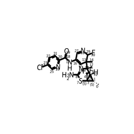 C[C@H]1[C@@H]2[C@@]1(C(F)F)SC(N)=N[C@]2(C)C1(C)C=C(NC(=O)c2ccc(Cl)cn2)C=NC1F